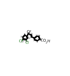 O=C(O)c1ccc(C=CC(c2ccc(Cl)c(Cl)c2)C(F)(F)F)cc1